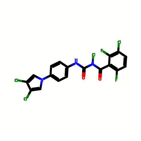 O=C(Nc1ccc(-n2cc(Cl)c(Cl)c2)cc1)N(Cl)C(=O)c1c(F)ccc(Cl)c1F